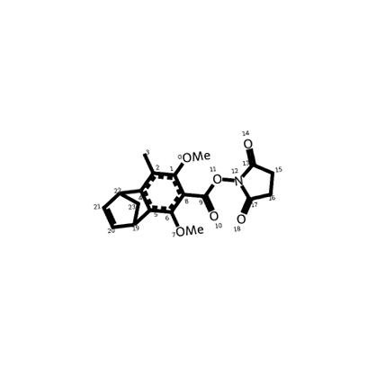 COc1c(C)c2c(c(OC)c1C(=O)ON1C(=O)CCC1=O)C1C=CC2C1